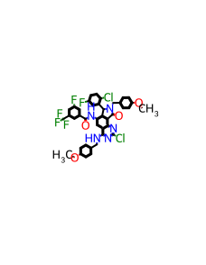 COc1ccc(CNc2nc(Cl)nc3c4c(c(NC(=O)c5cc(F)cc(C(F)(F)F)c5)cc23)C(c2cc(F)ccc2Cl)N(Cc2ccc(OC)cc2)C4=O)cc1